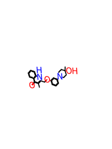 Cc1c(COc2cccc(N3CCC(C)(O)CC3)c2)[nH]c2ccccc2c1=O